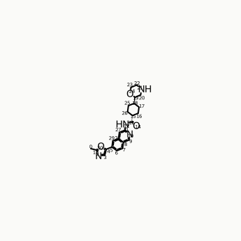 Cc1ncc(-c2ccc3cnc(NC(=O)[C@H]4CC[C@H](C5CNCCO5)CC4)cc3c2)o1